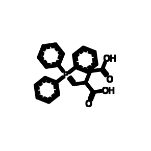 O=C(O)CC(C=P(c1ccccc1)(c1ccccc1)c1ccccc1)C(=O)O